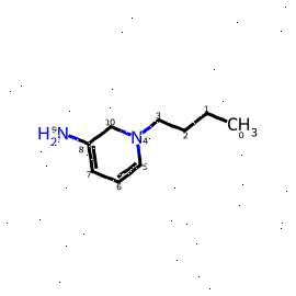 CCCCN1C=CC=C(N)C1